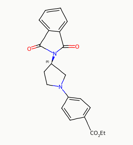 CCOC(=O)c1ccc(N2CC[C@@H](N3C(=O)c4ccccc4C3=O)C2)cc1